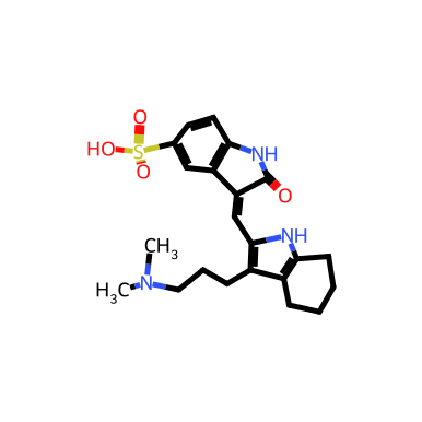 CN(C)CCCc1c(/C=C2\C(=O)Nc3ccc(S(=O)(=O)O)cc32)[nH]c2c1CCCC2